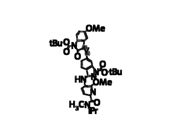 COc1ccc2c(c1)[C@]1(C[C@H]1c1ccc3c(Nc4ccc(C(=O)N(C)C(C)C)nc4OC)nn(C(=O)OC(C)(C)C)c3c1)C(=O)N2C(=O)OC(C)(C)C